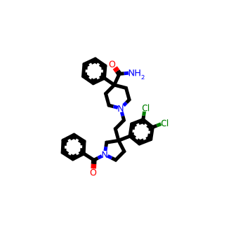 NC(=O)C1(c2ccccc2)CCN(CCC2(c3ccc(Cl)c(Cl)c3)CCN(C(=O)c3ccccc3)C2)CC1